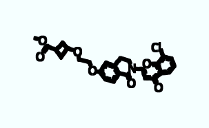 COC(=O)C1CC(OCCOc2ccc3c(c2)CCN(c2cc(=O)c4cccc(Cl)c4o2)C3=O)C1